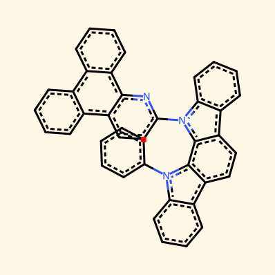 c1ccc(-n2c3ccccc3c3ccc4c5ccccc5n(-c5ccc6c7ccccc7c7ccccc7c6n5)c4c32)cc1